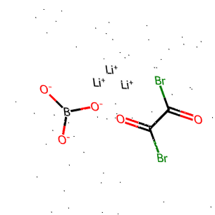 O=C(Br)C(=O)Br.[Li+].[Li+].[Li+].[O-]B([O-])[O-]